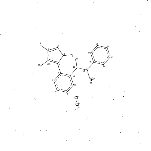 CC1=CC(C)C(c2ccccc2C(C)[N]([Ti+2])c2ccccc2)=C1C.[Cl-].[Cl-]